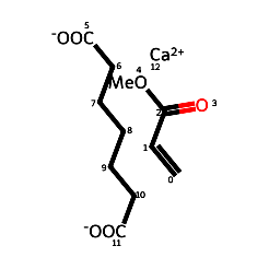 C=CC(=O)OC.O=C([O-])CCCCCC(=O)[O-].[Ca+2]